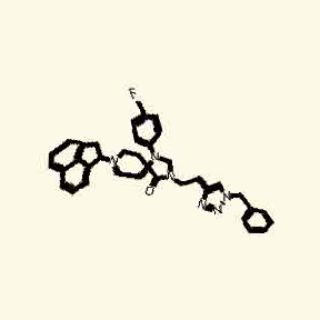 O=C1N(CCc2cn(Cc3ccccc3)nn2)CN(c2ccc(F)cc2)C12CCN(C1Cc3cccc4cccc1c34)CC2